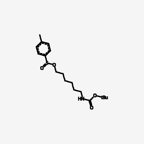 Cc1ccc(S(=O)OCCCCCCNC(=O)OC(C)(C)C)cc1